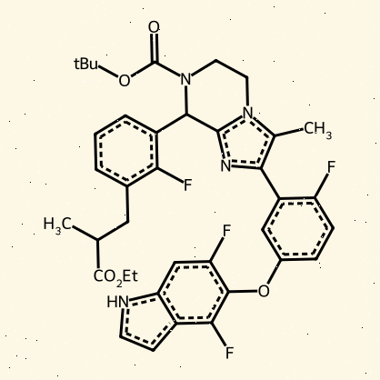 CCOC(=O)C(C)Cc1cccc(C2c3nc(-c4cc(Oc5c(F)cc6[nH]ccc6c5F)ccc4F)c(C)n3CCN2C(=O)OC(C)(C)C)c1F